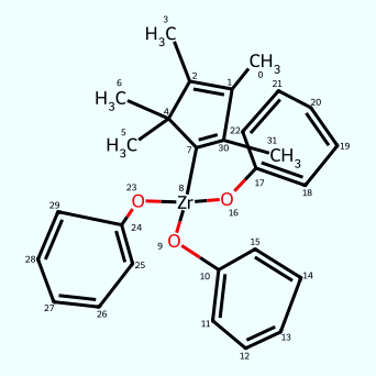 CC1=C(C)C(C)(C)[C]([Zr]([O]c2ccccc2)([O]c2ccccc2)[O]c2ccccc2)=C1C